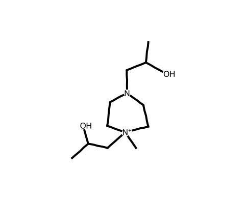 CC(O)CN1CC[N+](C)(CC(C)O)CC1